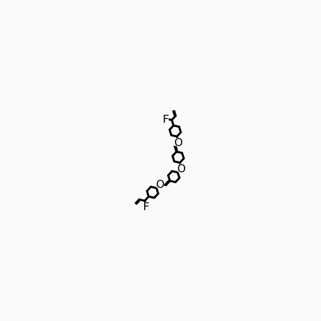 C=CC(F)C1CCC(OC=C2CCC(OC3CCC(=COC4CCC(C(F)C=C)CC4)CC3)CC2)CC1